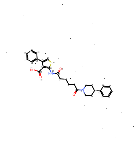 O=C(CCCCC(=O)N1CCC(c2ccccc2)CC1)Nc1scc(-c2ccccc2)c1C(=O)O